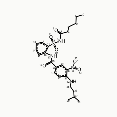 CCCCCC(=O)NS(=O)(=O)c1ccccc1NC(=O)c1ccc(NCCC(C)C)c([N+](=O)[O-])c1